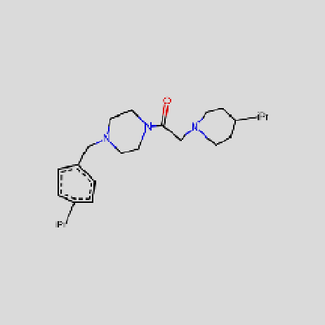 CC(C)c1ccc(CN2CCN(C(=O)CN3CCC(C(C)C)CC3)CC2)cc1